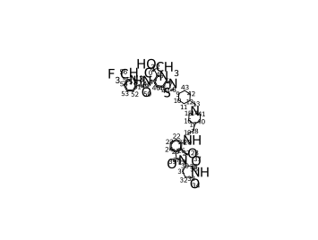 CC(C)(O)c1nc2nc([C@H]3CC[C@H](CN4CCC(CCNc5cccc6c5C(=O)N(C5CCC(=O)NC5=O)C6=O)CC4)CC3)sc2cc1NC(=O)c1cccc(C(F)(F)F)n1